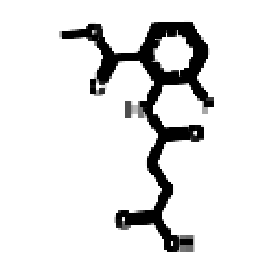 COC(=O)c1cccc(F)c1NC(=O)CCC(=O)O